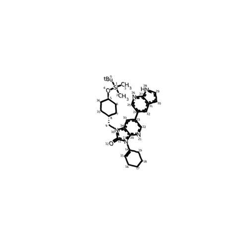 CC(C)(C)[Si](C)(C)O[C@H]1CC[C@H](Cn2c(=O)n(C3=CCCCC3)c3ncc(-c4cnc5[nH]ccc5c4)cc32)CC1